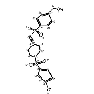 O=S(=O)(N=S1CCN(S(=O)(=O)c2ccc(Cl)cc2)CC1)c1ccc(CO)cc1